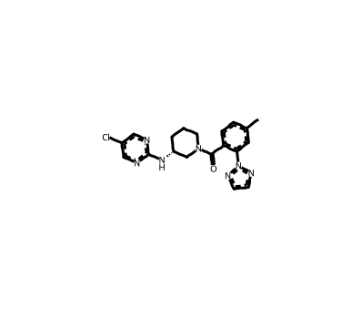 Cc1ccc(C(=O)N2CCC[C@@H](Nc3ncc(Cl)cn3)C2)c(-n2nccn2)c1